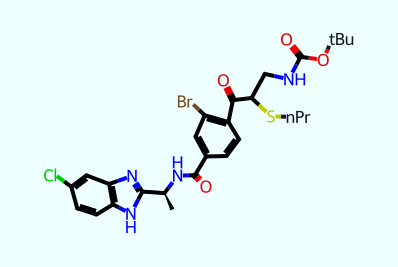 CCCSC(CNC(=O)OC(C)(C)C)C(=O)c1ccc(C(=O)N[C@@H](C)c2nc3cc(Cl)ccc3[nH]2)cc1Br